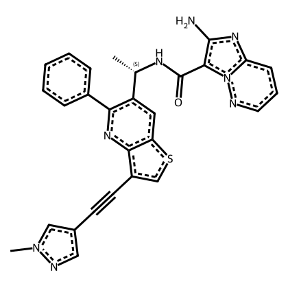 C[C@H](NC(=O)c1c(N)nc2cccnn12)c1cc2scc(C#Cc3cnn(C)c3)c2nc1-c1ccccc1